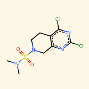 CN(C)S(=O)(=O)N1CCc2c(Cl)nc(Cl)nc2C1